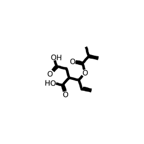 C=CC(OC(=O)C(=C)C)C(CC(=O)O)C(=O)O